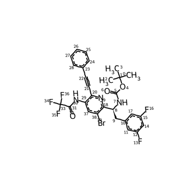 CC(C)(C)OC(=O)N[C@@H](Cc1cc(F)cc(F)c1)c1nc(C#Cc2ccccc2)c(NC(=O)C(F)(F)F)cc1Br